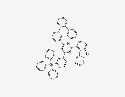 c1ccc(-c2ccccc2-c2cccc(-c3nc(-c4cccc([Si](c5ccccc5)(c5ccccc5)c5ccccc5)c4)nc(-c4cccc5oc6ccccc6c45)n3)c2)cc1